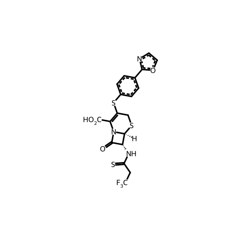 O=C(O)C1=C(Sc2ccc(-c3ncco3)cc2)CS[C@H]2[C@H](NC(=S)CC(F)(F)F)C(=O)N12